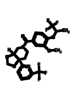 COc1cc(C(=O)N2CC[C@]3(c4cccc(C(F)(F)F)n4)OCO[C@@H]3C2)ccc1OC(C)C(F)(F)F